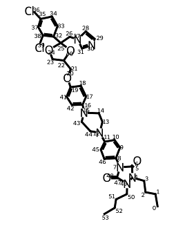 CCCCn1c(=O)n(-c2ccc(N3CCN(c4ccc(OCC5COC(Cn6ccnc6)(c6ccc(Cl)cc6Cl)O5)cc4)CC3)cc2)c(=O)n1CCCC